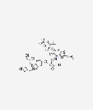 CC1(C)[C@H](NC(=O)/C(=N\O[C@@H](COc2ccc3c(c2)cn(CC2CNC2)[n+]3CC(O)CO)C(=O)O)c2csc(N)n2)C(=O)N1OS(=O)(=O)[O-]